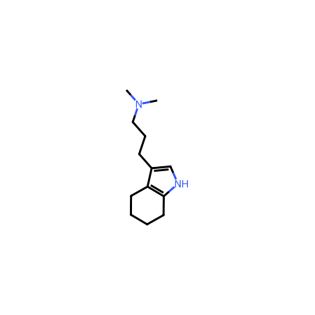 CN(C)CCCc1c[nH]c2c1CCCC2